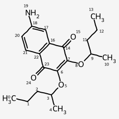 CCCC(C)OC1=C(OC(C)CCC)C(=O)c2cc(N)ccc2C1=O